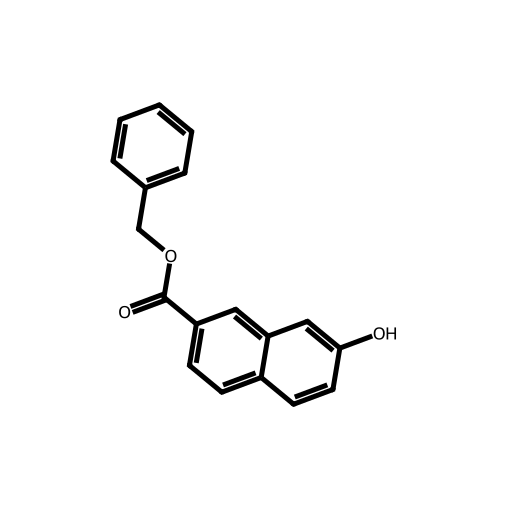 O=C(OCc1ccccc1)c1ccc2ccc(O)cc2c1